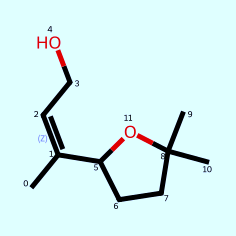 C/C(=C/CO)C1CCC(C)(C)O1